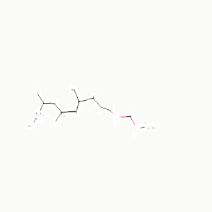 CCCCOCOCCCC(C)CC(C)C[CH](C)[Mg][I]